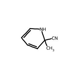 CC1(C#N)C=CC=CN1